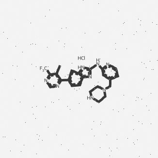 Cc1c(-c2ccc3nc(Nc4cc(CN5CCNCC5)ccn4)[nH]c3c2)ncnc1C(F)(F)F.Cl